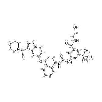 CC(C)(C)c1cc(NC(=O)N[C@H]2CC[C@@H](Oc3ccc4nnc(C(=O)N5CCOCC5)n4c3)c3ccccc32)nc(C(=O)NCCO)n1